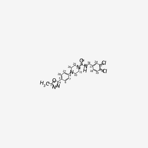 Cc1nnc(-c2ccc(N3CCN(C(=O)NCc4ccc(Cl)c(Cl)c4)CC3)cc2)o1